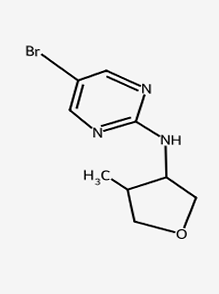 CC1COCC1Nc1ncc(Br)cn1